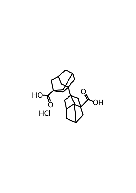 Cl.O=C(O)C12CC3CC(C1)CC(C14CC5CC(CC(C(=O)O)(C5)C1)C4)(C3)C2